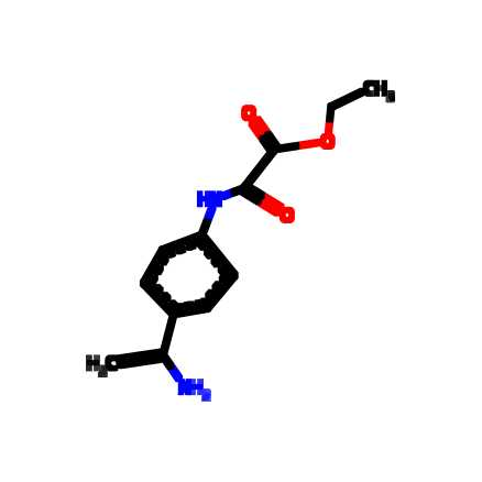 C=C(N)c1ccc(NC(=O)C(=O)OCC)cc1